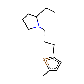 CCC1CCCN1CCCc1ccc(C)s1